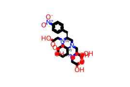 O=C(O)CN(CC(=O)O)[C@@H](Cc1ccc([N+](=O)[O-])cc1)CN(CC(=O)O)[C@@H]1CCCC[C@H]1N(CC(=O)O)CC(=O)O